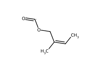 CC=C(C)CO[C]=O